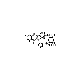 [2H]C1CC([2H])(O)C([2H])([2H])CC1Nc1ncc2nc(Nc3c(F)cc(F)cc3F)n(C3CCOC3)c2n1